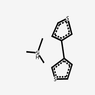 C[SiH](C)C.c1cc(-c2ccsc2)cs1